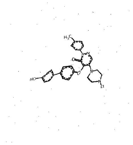 CCN1CCN(c2cnn(-c3ccc(C)cc3)c(=O)c2Oc2ccc(-c3ccc(O)cc3)cc2)CC1